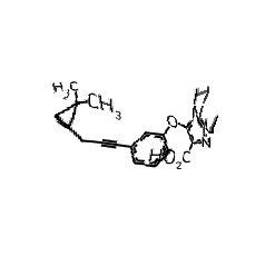 CC1(C)CC1CC#Cc1cccc(Oc2[nH]nnc2C(=O)O)c1